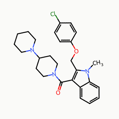 Cn1c(COc2ccc(Cl)cc2)c(C(=O)N2CCC(N3CCCCC3)CC2)c2ccccc21